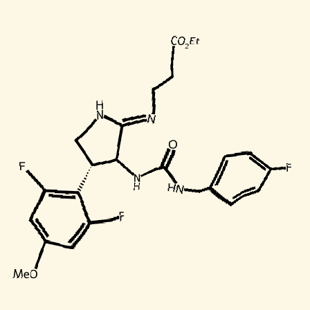 CCOC(=O)CC/N=C1\NC[C@@H](c2c(F)cc(OC)cc2F)C1NC(=O)Nc1ccc(F)cc1